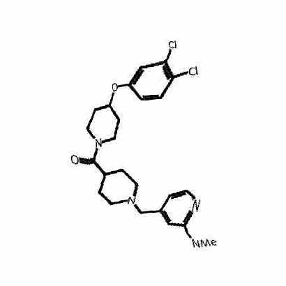 CNc1cc(CN2CCC(C(=O)N3CCC(Oc4ccc(Cl)c(Cl)c4)CC3)CC2)ccn1